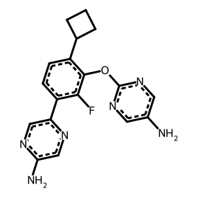 Nc1cnc(Oc2c(C3CCC3)ccc(-c3cnc(N)cn3)c2F)nc1